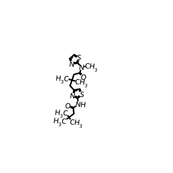 CN(C(=O)CC(C)(C)Cc1csc(NC(=O)CC(C)(C)C)n1)c1nccs1